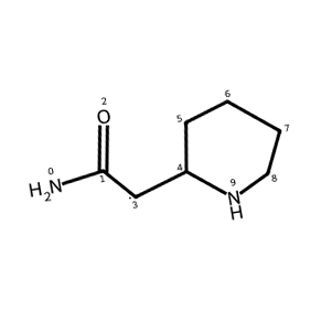 NC(=O)[CH]C1CCCCN1